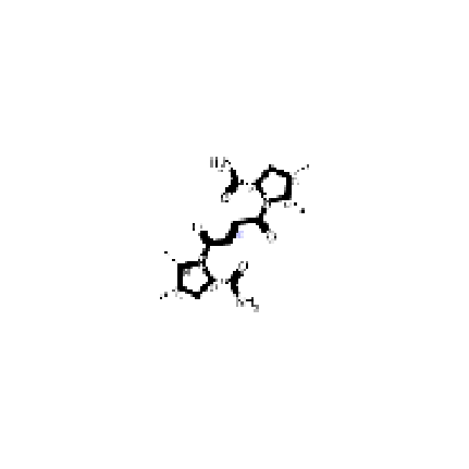 C[C@H]1C[C@@H](C(N)=O)N(C(=O)/C=C/C(=O)N2[C@H](C(N)=O)C[C@H](C)[C@@H]2C)[C@H]1C